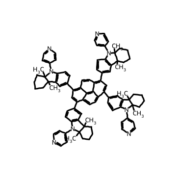 CC12CCCCC1(C)N(c1ccncc1)c1ccc(-c3cc(-c4ccc5c(c4)C4(C)CCCCC4(C)N5c4ccncc4)c4ccc5c(-c6ccc7c(c6)C6(C)CCCCC6(C)N7c6ccncc6)cc(-c6ccc7c(c6)C6(C)CCCCC6(C)N7c6ccncc6)c6ccc3c4c65)cc12